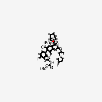 CC(CN1CCC(F)C1)Oc1nc(N2CC3CCC(C2)N3C(=O)OC(C)(C)C)c2cc(Cl)c(-c3ccc(F)c4sc(NC(=O)OC(C)(C)C)nc34)c(F)c2n1